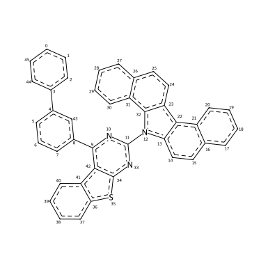 c1ccc(-c2cccc(-c3nc(-n4c5ccc6ccccc6c5c5ccc6ccccc6c54)nc4sc5ccccc5c34)c2)cc1